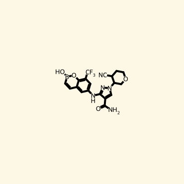 N#CC1CCOCC1n1cc(C(N)=O)c(Nc2cc3c(c(C(F)(F)F)c2)OB(O)C=C3)n1